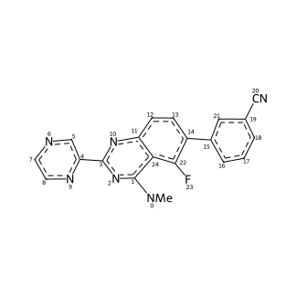 CNc1nc(-c2cnccn2)nc2ccc(-c3cccc(C#N)c3)c(F)c12